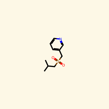 CC(C)CS(=O)(=O)Cc1cccnc1